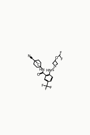 N#CC12CCC(NC(=O)c3cc(C(F)(F)F)ccc3NSN3CC(OC(F)F)C3)(CC1)CC2